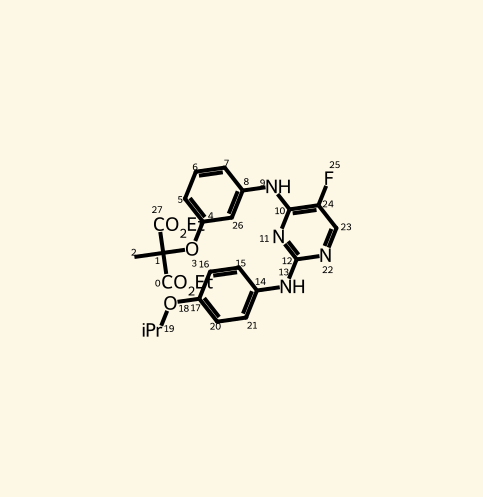 CCOC(=O)C(C)(Oc1cccc(Nc2nc(Nc3ccc(OC(C)C)cc3)ncc2F)c1)C(=O)OCC